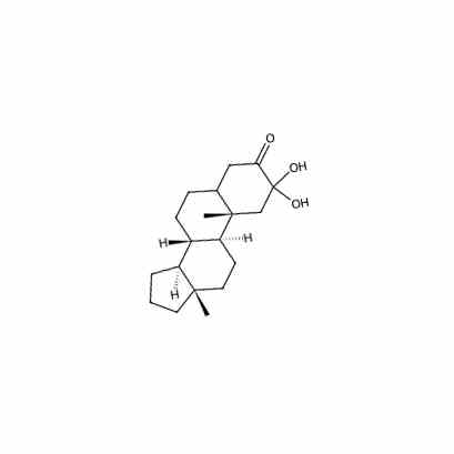 C[C@@]12CCC[C@H]1[C@@H]1CCC3CC(=O)C(O)(O)C[C@]3(C)[C@H]1CC2